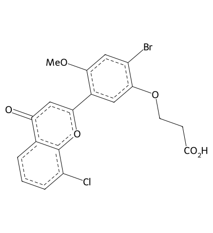 COc1cc(Br)c(OCCC(=O)O)cc1-c1cc(=O)c2cccc(Cl)c2o1